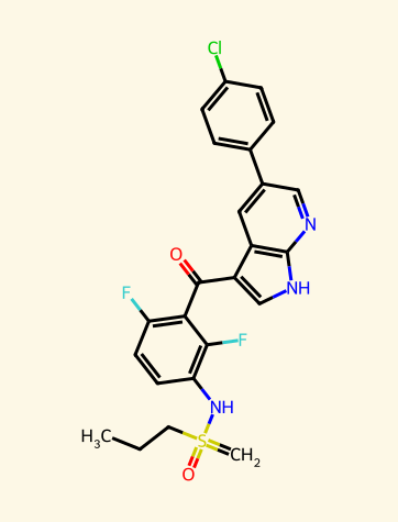 C=S(=O)(CCC)Nc1ccc(F)c(C(=O)c2c[nH]c3ncc(-c4ccc(Cl)cc4)cc23)c1F